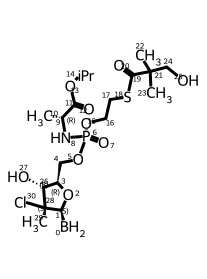 B[C@@H]1O[C@H](COP(=O)(N[C@H](C)C(=O)OC(C)C)OCCSC(=O)C(C)(C)CO)[C@@H](O)[C@@]1(C)Cl